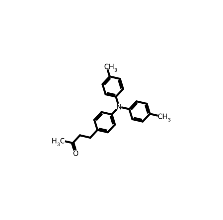 CC(=O)CCc1ccc(N(c2ccc(C)cc2)c2ccc(C)cc2)cc1